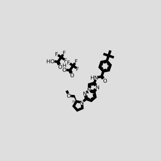 COC[C@@H]1CCCN1c1ccc2nc(NC(=O)c3ccc(C(C)(C)C)cc3)cn2n1.O=C(O)C(F)(F)F.O=C(O)C(F)(F)F